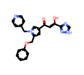 O=C(C=C(O)c1nc[nH]n1)c1cc(COc2ccccc2)n(Cc2ccncc2)c1